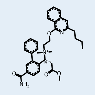 CCCCc1cc2ccccc2c(OCC[N+](C)(C)[C@H](CC(=O)OC)c2ccc(C(N)=O)cc2-c2ccccc2)n1